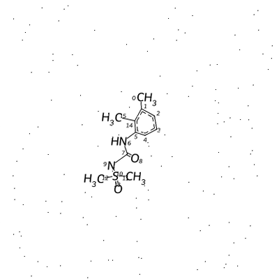 Cc1cccc(NC(=O)N=S(C)(C)=O)c1C